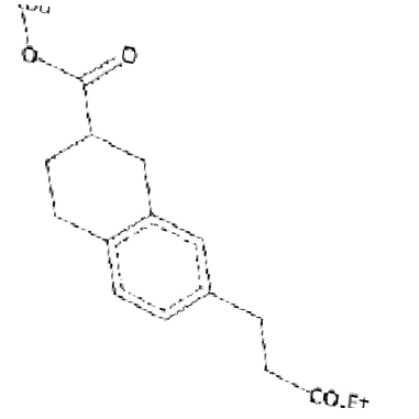 CCOC(=O)CCc1ccc2c(c1)CC(C(=O)OC(C)(C)C)CC2